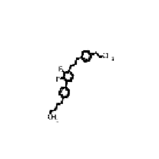 CCCCCc1ccc(-c2ccc(CCCc3ccc(CCC)cc3)c(F)c2F)cc1